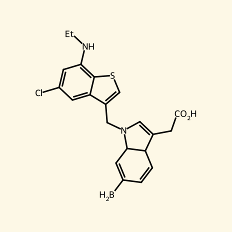 BC1=CC2C(C=C1)C(CC(=O)O)=CN2Cc1csc2c(NCC)cc(Cl)cc12